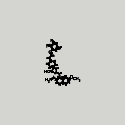 COc1ccc2ncc(CN)c(CCCC3(CO)CCN(CCOc4cc(F)cc(F)c4F)CC3)c2c1